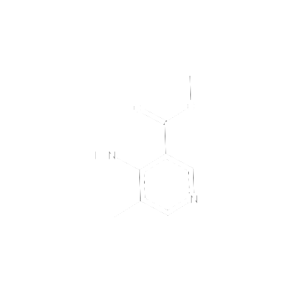 COC(=O)c1cncc(C)c1N